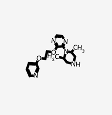 CC1CNCC(C)N1c1nccnc1OCCOc1cccnc1